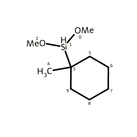 CO[SiH](OC)C1(C)CCCCC1